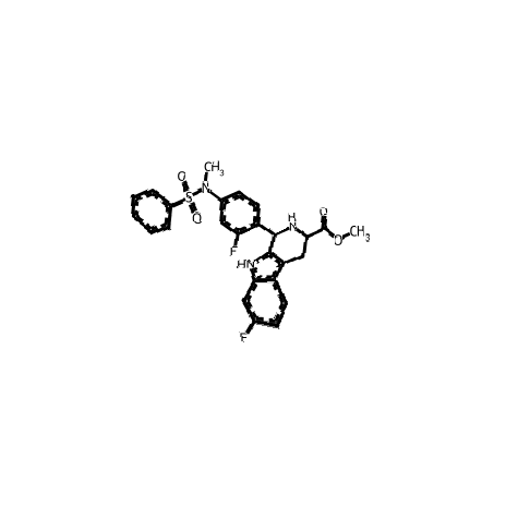 COC(=O)C1Cc2c([nH]c3cc(F)ccc23)C(c2ccc(N(C)S(=O)(=O)c3ccccc3)cc2F)N1